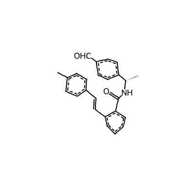 Cc1ccc(/C=C/c2ccccc2C(=O)N[C@@H](C)c2ccc(C=O)cc2)cc1